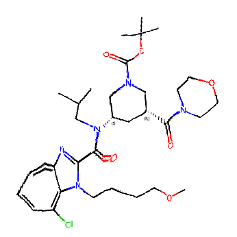 COCCCCn1c(C(=O)N(CC(C)C)[C@H]2C[C@@H](C(=O)N3CCOCC3)CN(C(=O)OC(C)(C)C)C2)nc2cccc(Cl)c21